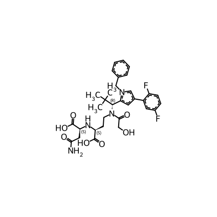 CC(C)(C)[C@H](c1cc(-c2cc(F)ccc2F)cn1Cc1ccccc1)N(CC[C@H](N[C@@H](CC(N)=O)C(=O)O)C(=O)O)C(=O)CO